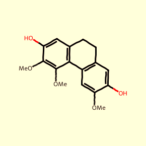 COc1cc2c(cc1O)CCc1cc(O)c(OC)c(OC)c1-2